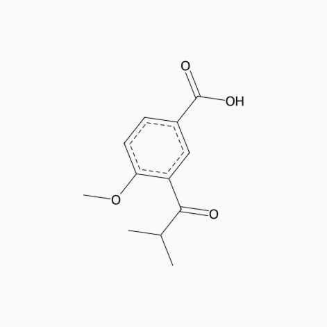 COc1ccc(C(=O)O)cc1C(=O)C(C)C